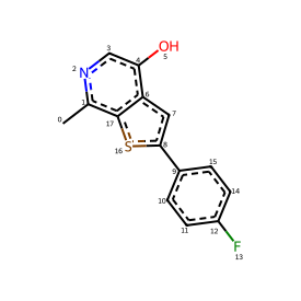 Cc1ncc(O)c2cc(-c3ccc(F)cc3)sc12